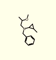 COC(C)CN(Cc1ccccc1)C1CC1C